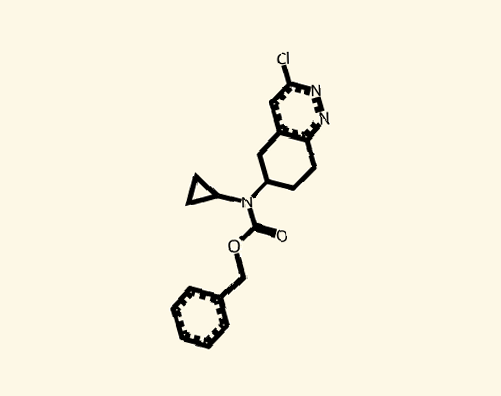 O=C(OCc1ccccc1)N(C1CC1)C1CCc2nnc(Cl)cc2C1